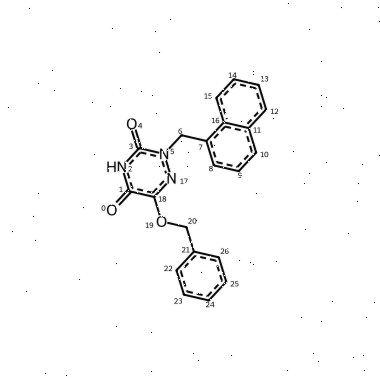 O=c1[nH]c(=O)n(Cc2cccc3ccccc23)nc1OCc1ccccc1